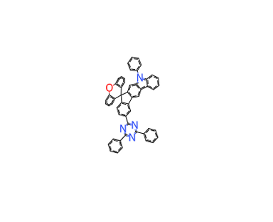 c1ccc(-c2nc(-c3ccccc3)nc(-c3ccc4c(c3)-c3cc5c6ccccc6n(-c6ccccc6)c5cc3C43c4ccccc4Oc4ccccc43)n2)cc1